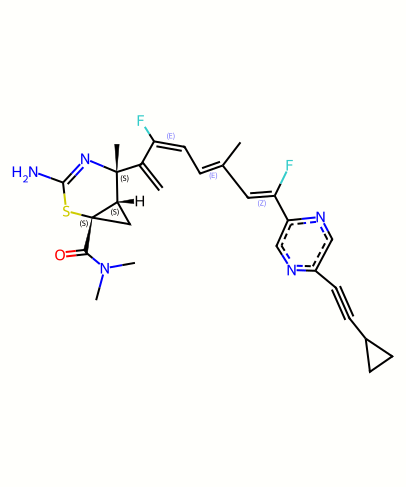 C=C(\C(F)=C/C=C(C)/C=C(\F)c1cnc(C#CC2CC2)cn1)[C@@]1(C)N=C(N)S[C@@]2(C(=O)N(C)C)C[C@@H]12